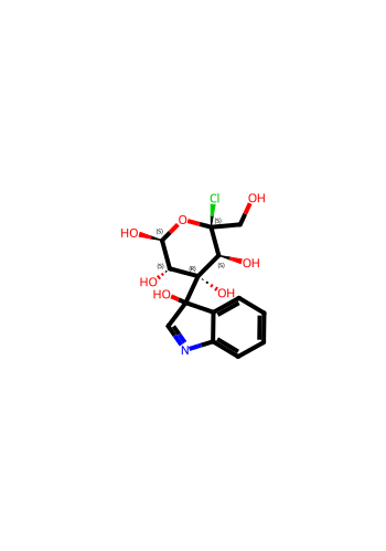 OC[C@@]1(Cl)O[C@H](O)[C@@H](O)[C@](O)(C2(O)C=Nc3ccccc32)[C@@H]1O